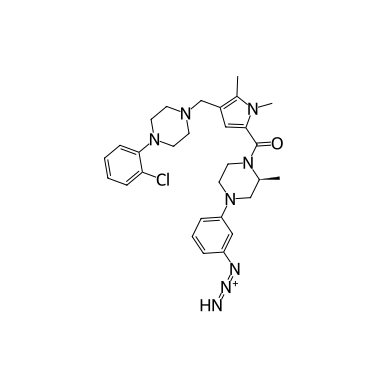 Cc1c(CN2CCN(c3ccccc3Cl)CC2)cc(C(=O)N2CCN(c3cccc(N=[N+]=N)c3)C[C@@H]2C)n1C